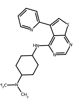 CN(C)C1CCC(Nc2ncnc3scc(-c4ccccn4)c23)CC1